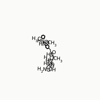 COc1cc(CCC(=O)NCC(C)(C)CNC(=O)NC(CC(N)=O)C(=O)O)ccc1NC(=O)Nc1ccccc1C